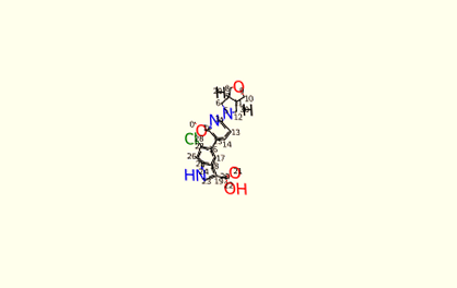 COc1nc(N2C[C@@H]3COC[C@H]3C2)ccc1-c1cc2c(C(=O)O)c[nH]c2cc1Cl